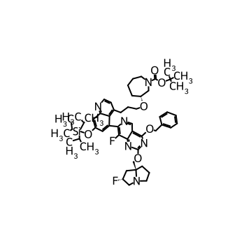 CC(C)[Si](Oc1cc(-c2ncc3c(OCc4ccccc4)nc(OC[C@@]45CCCN4C[C@H](F)C5)nc3c2F)c2c(CCCO[C@@H]3CCCCN(C(=O)OC(C)(C)C)C3)ccnc2c1)(C(C)C)C(C)C